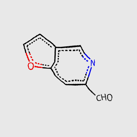 O=Cc1cc2occc2cn1